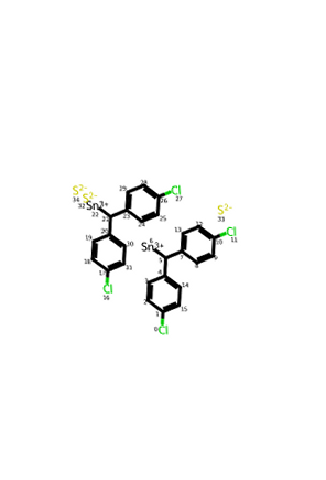 Clc1ccc([CH]([Sn+3])c2ccc(Cl)cc2)cc1.Clc1ccc([CH]([Sn+3])c2ccc(Cl)cc2)cc1.[S-2].[S-2].[S-2]